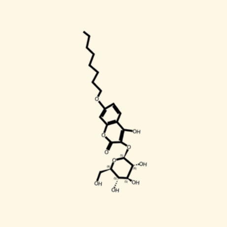 CCCCCCCCOc1ccc2c(O)c(O[C@@H]3O[C@H](CO)[C@@H](O)[C@H](O)[C@H]3O)c(=O)oc2c1